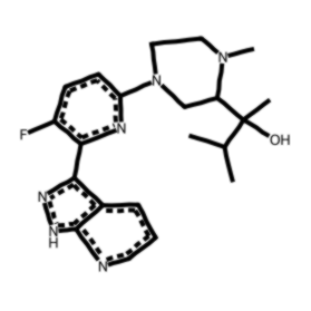 CC(C)C(C)(O)C1CN(c2ccc(F)c(-c3n[nH]c4ncccc34)n2)CCN1C